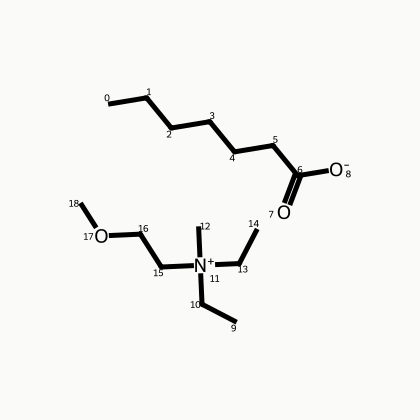 CCCCCCC(=O)[O-].CC[N+](C)(CC)CCOC